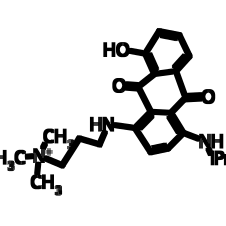 CC(C)Nc1ccc(NCCC[N+](C)(C)C)c2c1C(=O)c1cccc(O)c1C2=O